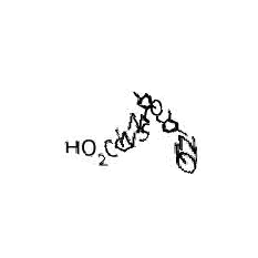 Cc1ccc(OCc2ccc(CN3CCOCC3)cc2C)c(-c2csc(N3CC[C@@H](C(=O)O)[C@H]3C)n2)c1